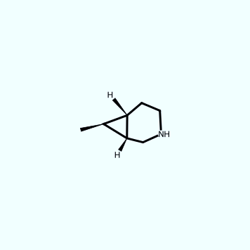 C[C@@H]1[C@H]2CNCC[C@@H]12